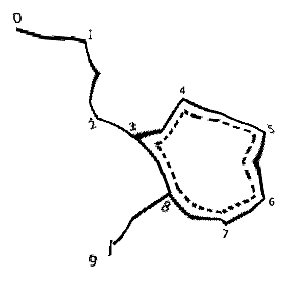 CC[CH]c1ccccc1I